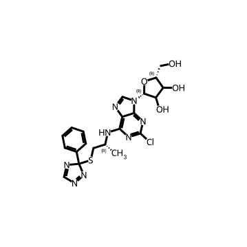 C[C@H](CSC1(c2ccccc2)N=CN=N1)Nc1nc(Cl)nc2c1ncn2[C@@H]1O[C@H](CO)C(O)C1O